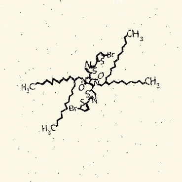 CCCCCCCCCCCCC(CCCCCCCCCC)CN1C(=O)C2=C(C3CN=C(C4=CCC(Br)S4)S3)N(CC(CCCCCCCCCC)CCCCCCCCCCCC)C(=O)C2=C1c1cnc(-c2ccc(Br)s2)s1